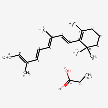 CC(C=CC=C(C)C=CC1=C(C)CCCC1(C)C)=CC=O.CCC(=O)O